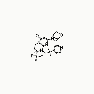 CC(C)(CN1c2nc(N3CC4CC3CO4)cc(=O)n2CC[C@H]1C(F)(F)F)c1ccncc1